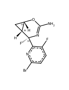 NC1=N[C@@](F)(c2nc(Br)ccc2F)[C@@H]2C[C@@H]2O1